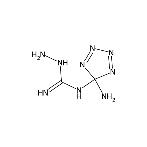 N=C(NN)NC1(N)N=NN=N1